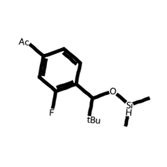 CC(=O)c1ccc(C(O[SiH](C)C)C(C)(C)C)c(F)c1